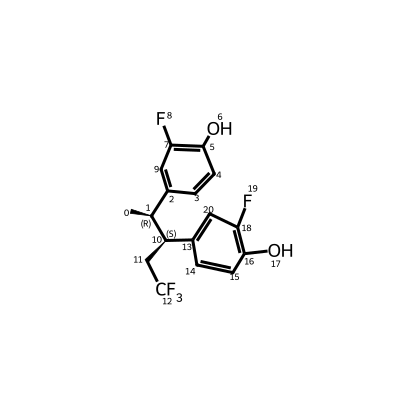 C[C@@H](c1ccc(O)c(F)c1)[C@H](CC(F)(F)F)c1ccc(O)c(F)c1